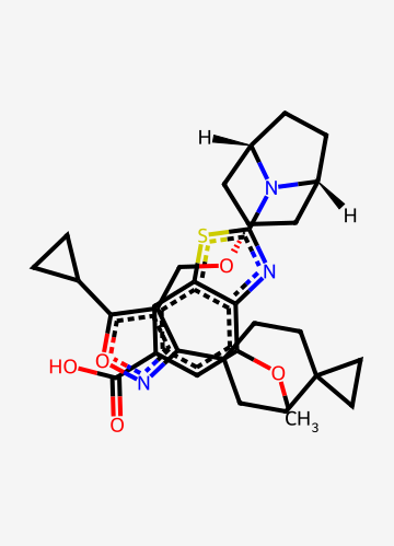 COc1cc(C(=O)O)cc2sc(N3[C@@H]4CC[C@H]3C[C@@H](OCc3c(C5CCC6(CC5)CC6)noc3C3CC3)C4)nc12